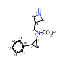 O=C(O)N(CC1CNC1)[C@@H]1C[C@H]1c1ccccc1